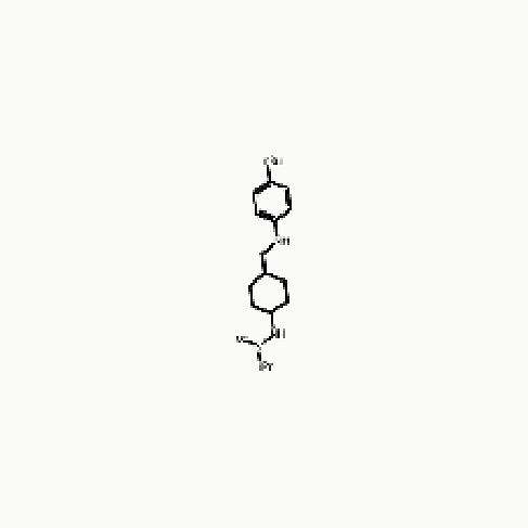 CCCCc1ccc(NCC2CCC(N[S+]([O-])C(C)C)CC2)cc1